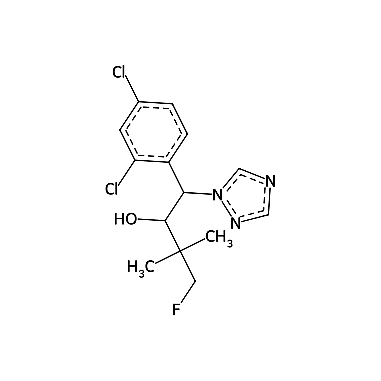 CC(C)(CF)C(O)C(c1ccc(Cl)cc1Cl)n1cncn1